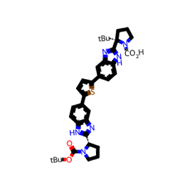 CC(C)(C)OC(=O)N1CCC[C@H]1c1nc2cc(-c3ccc(-c4ccc5[nH]c([C@@]6(C(C)(C)C)CCCN6C(=O)O)nc5c4)s3)ccc2[nH]1